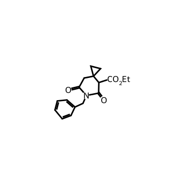 CCOC(=O)C1C(=O)N(Cc2ccccc2)C(=O)CC12CC2